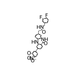 COc1cc(-c2ccc3c(c2)Nc2ccc(CC(=O)NCc4ccc(F)c(F)c4)cc2NC3=O)ccc1[N+](=O)[O-]